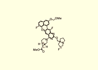 CCc1c(F)ccc2cc(OCOC)cc(-c3ncc4c(N5CC[C@H]6[C@@H](C5)[C@H]6C(=O)OC)nc(OC[C@@]56CCCN5C[C@H](F)C6)nc4c3F)c12